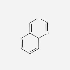 [C]1=NC2C=CC=CC2=CO1